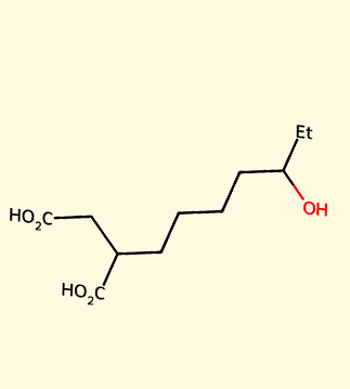 CCC(O)CCCCC(CC(=O)O)C(=O)O